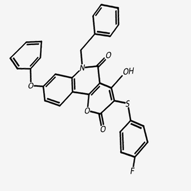 O=c1oc2c(c(O)c1Sc1ccc(F)cc1)c(=O)n(Cc1ccccc1)c1cc(Oc3ccccc3)ccc21